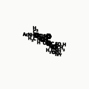 CCCC(=O)Nc1c(C)c(/N=c2\ccc3c(-c4ccccc4S(=O)(=O)O)c4ccc(Nc5c(C)cc(C)c(NC(C)=O)c5C)cc4oc-3c2)c(C)c(S(=O)(=O)O)c1C